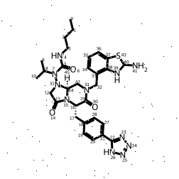 CCCCNC(=O)N(C(C)C)N1CC(=O)N2[C@@H](Cc3ccc(-c4nnn[nH]4)cc3)C(=O)N(Cc3cccc4c3NC(N)S4)C[C@@H]21